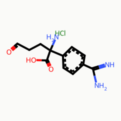 Cl.N=C(N)c1ccc(C(N)(CCC=O)C(=O)O)cc1